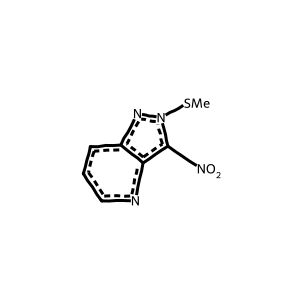 CSn1nc2cccnc2c1[N+](=O)[O-]